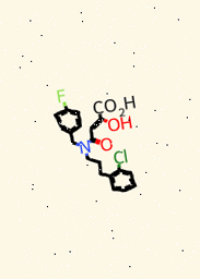 O=C(O)/C(O)=C/C(=O)N(CCCc1ccccc1Cl)Cc1ccc(F)cc1